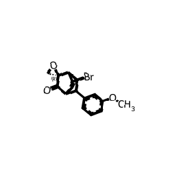 COc1cccc(C2CC3C(Br)=CC2C(=O)[C@]32CO2)c1